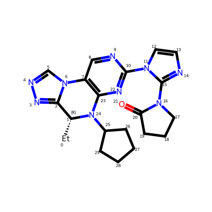 CC[C@@H]1c2nncn2-c2cnc(-n3ccnc3N3CCCC3=O)nc2N1C1CCCC1